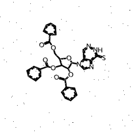 O=C(OCC1OC(n2cnc3c(=S)[nH]ncc32)C(OC(=O)c2ccccc2)C1OC(=O)c1ccccc1)c1ccccc1